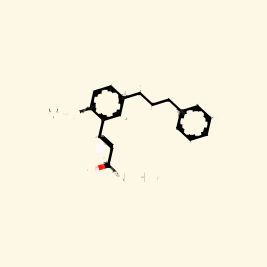 CSc1ccc(CCCc2ccccc2)cc1/C=C/C(=O)N(C)O